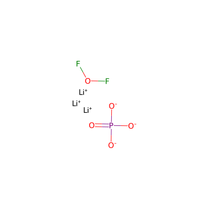 FOF.O=P([O-])([O-])[O-].[Li+].[Li+].[Li+]